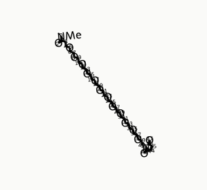 CNC(=O)CCOCCOCCOCCOCCOCCOCCOCCOCCOCCOCCOCCOCCN1C(=O)C=CC1=O